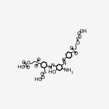 Nc1cc(O)c(/N=N/c2ccc(S(=O)(=O)CCOS(=O)(=O)O)cc2SOOO)cc1/N=N/c1ccc(S(=O)(=O)CCOSOOO)cc1